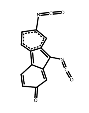 O=C=NC1=c2cc(N=C=O)ccc2=C2C=CC(=O)C=C21